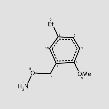 CCc1ccc(OC)c(CON)c1